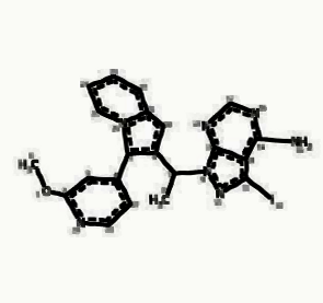 COc1cc(-c2c(C(C)n3nc(I)c4c(N)ncnc43)cc3ccccn23)ccn1